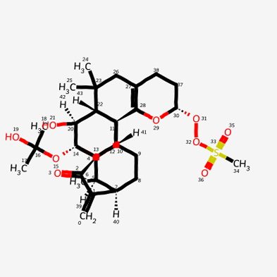 C=C1C(=O)[C@]23[C@H](C)[C@H]1CC[C@H]2[C@@]12CO[C@]3(OC(C)(C)O)[C@@H](O)[C@@H]1C(C)(C)CC1=C2O[C@@H](OOS(C)(=O)=O)CC1